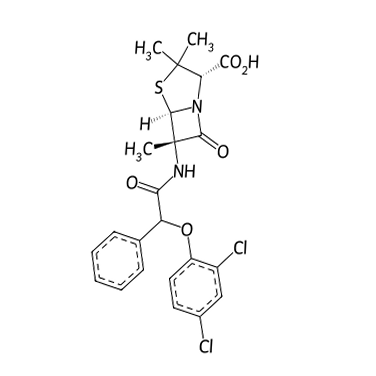 CC1(C)S[C@H]2N(C(=O)[C@]2(C)NC(=O)C(Oc2ccc(Cl)cc2Cl)c2ccccc2)[C@H]1C(=O)O